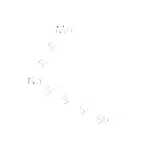 [Mo+6].[Na+].[S-2].[S-2].[S-2].[S-2].[S-2].[Sb+3]